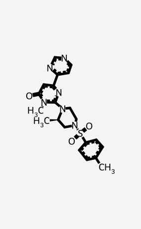 Cc1ccc(S(=O)(=O)N2CCN(c3nc(-c4ccncn4)cc(=O)n3C)[C@H](C)C2)cc1